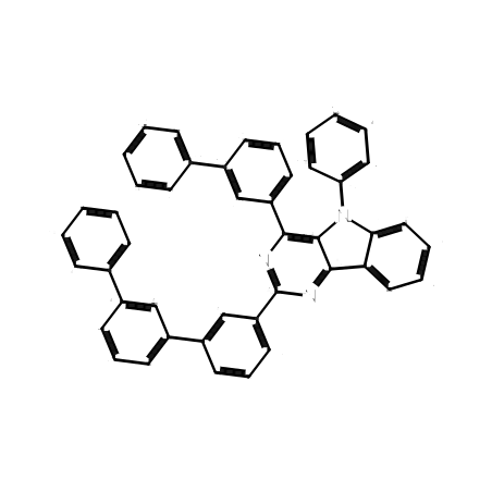 c1ccc(-c2cccc(-c3cccc(-c4nc(-c5cccc(-c6ccccc6)c5)c5c(n4)c4ccccc4n5-c4ccccc4)c3)c2)cc1